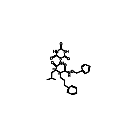 CC(C)C[C@@H](C(=O)Nn1c(=O)[nH]c(=O)[nH]c1=O)[C@H](CCCc1ccccc1)C(=O)NOCc1ccccc1